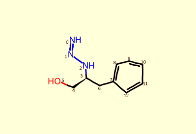 N=NN[C@H](CO)Cc1ccccc1